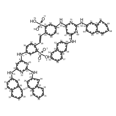 O=S(=O)(O)c1cc(Nc2cc(Nc3ccc4ccccc4c3)nc(Nc3ccc4ccccc4c3)n2)ccc1C=Cc1ccc(Nc2cc(Nc3ccc4ccccc4c3)nc(Nc3ccc4ccccc4c3)n2)cc1S(=O)(=O)O